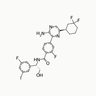 Nc1ncc([C@@H]2CCCC(F)(F)C2)nc1-c1ccc(C(=O)N[C@H](CO)c2cc(F)cc(I)c2)c(F)c1